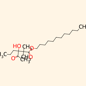 CCCCCCCCCCCCOC(=O)C(C)(C)C(O)(CCC)C(C)=O